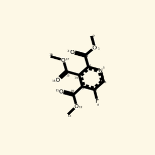 COC(=O)c1ncc(F)c(C(=O)OC)c1C(=O)OC